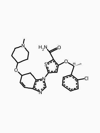 C[C@@H](Oc1cc(-n2cnc3c2CC(OC2CCN(C)CC2)C=C3)sc1C(N)=O)c1ccccc1Cl